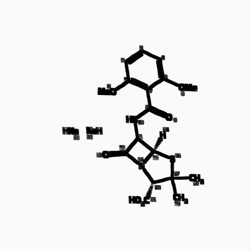 COc1cccc(OC)c1C(=O)NC1C(=O)N2[C@@H]1SC(C)(C)[C@@H]2C(=O)O.[NaH].[NaH]